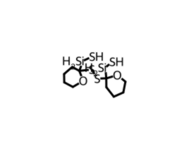 S[SiH2]C1(SSC2([SiH2]S)CCCCO2)CCCCO1